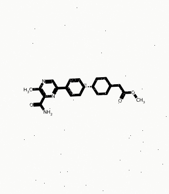 COC(=O)CC1CCC([C@H]2C=CC(c3cnc(C)c(C(N)=O)n3)=CC2)CC1